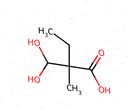 CCC(C)(C(=O)O)C(O)O